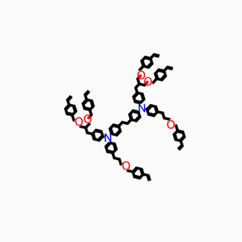 C=Cc1ccc(COCCCc2ccc(N(c3ccc(CCc4ccc(N(c5ccc(CCCOCc6ccc(C=C)cc6)cc5)c5ccc(CC(COCc6ccc(C=C)cc6)COCc6ccc(C=C)cc6)cc5)cc4)cc3)c3ccc(CC(COCc4ccc(C=C)cc4)COCc4ccc(C=C)cc4)cc3)cc2)cc1